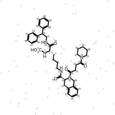 O=C(O)N[C@@H](CCCCNC(=O)[C@@H]1Cc2ccccc2CN1C(=O)CCC(=O)N1CCCCC1)C(=O)NCC(c1ccccc1)c1ccccc1